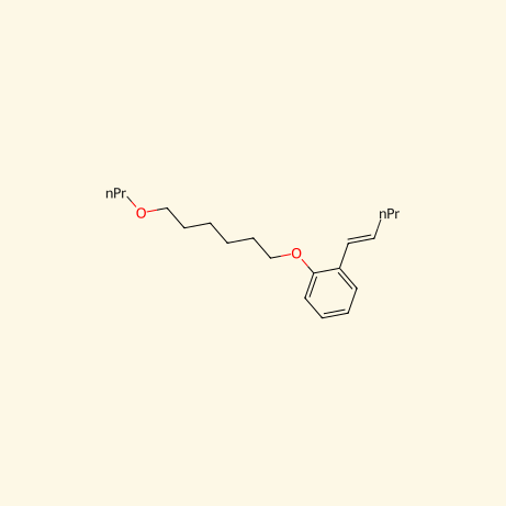 [CH2]CCC=Cc1ccccc1OCCCCCCOCCC